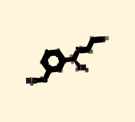 COc1cccc([C@@H](C)N=CC=S)c1